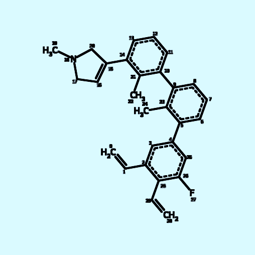 C=Cc1cc(-c2cccc(-c3cccc(C4=CCN(C)C4)c3C)c2C)cc(F)c1C=C